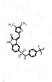 Cc1cc(C=C2C(=O)Nc3ccc(S(=O)(=O)Nc4ccc(C(F)(F)F)cc4)cc32)oc1C